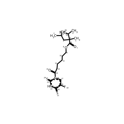 CC(C)CC(C)(C(=O)OCCCCCC(=O)n1cc(F)c(=S)[nH]c1=S)C(C)C